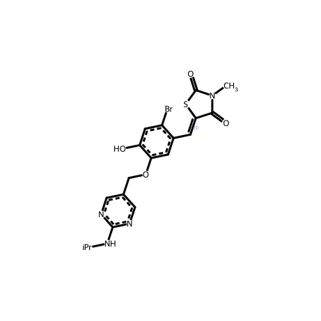 CC(C)Nc1ncc(COc2cc(/C=C3\SC(=O)N(C)C3=O)c(Br)cc2O)cn1